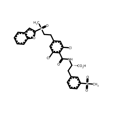 CP(=O)(CCc1cc(Cl)c(C(=O)N[C@@H](Cc2cccc(S(C)(=O)=O)c2)C(=O)O)c(Cl)c1)c1cc2ccccc2o1